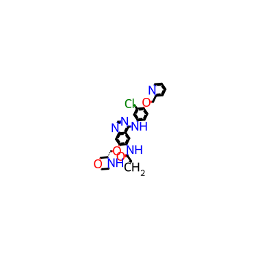 C=CC(=O)Nc1cc2c(Nc3ccc(OCc4ccccn4)c(Cl)c3)ncnc2cc1OC[C@H]1COCCN1